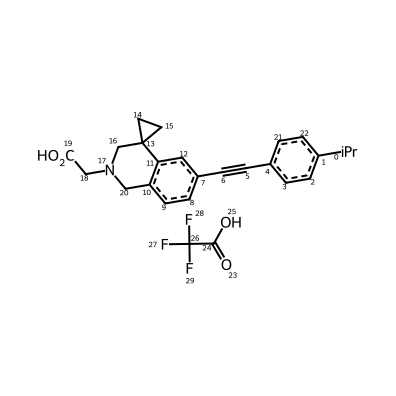 CC(C)c1ccc(C#Cc2ccc3c(c2)C2(CC2)CN(CC(=O)O)C3)cc1.O=C(O)C(F)(F)F